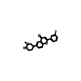 C[C@H]1CN(c2ccc3oc(-c4cccc(F)c4)cc(=O)c3c2)CCN1